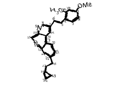 COc1ccc(CCc2cnc3cnc4cc(CCC5CC5)ccc4c3c2)c(C)c1